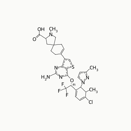 Cc1ccn(C2C([C@@H](Oc3nc(N)nc4c(C5=CCC6(CC5)CC(C(=O)O)N(C)C6)csc34)C(F)(F)F)=CC=C(Cl)C2C)n1